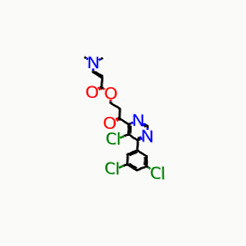 CN(C)C=CC(=O)OCCC(=O)c1ncnc(-c2cc(Cl)cc(Cl)c2)c1Cl